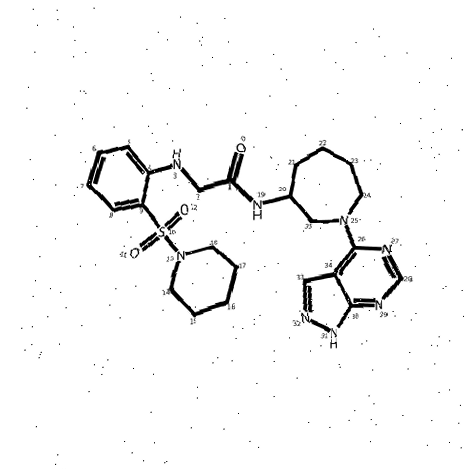 O=C(CNc1ccccc1S(=O)(=O)N1CCCCC1)NC1CCCCN(c2ncnc3[nH]ncc23)C1